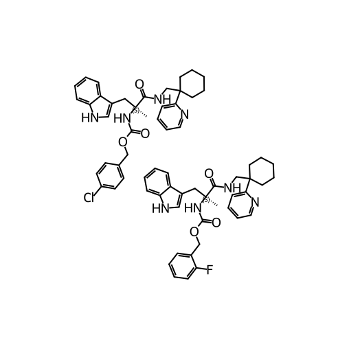 C[C@@](Cc1c[nH]c2ccccc12)(NC(=O)OCc1ccc(Cl)cc1)C(=O)NCC1(c2ccccn2)CCCCC1.C[C@@](Cc1c[nH]c2ccccc12)(NC(=O)OCc1ccccc1F)C(=O)NCC1(c2ccccn2)CCCCC1